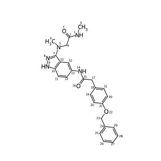 CNC(=O)CN(C)c1n[nH]c2ccc(NC(=O)Cc3ccc(OCc4ccccc4)cc3)cc12